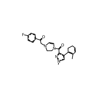 CC1=C(c2cn(C)nc2C(=O)N2C=CN(CC(=O)c3ccc(F)cc3)CC2)CCC=C1